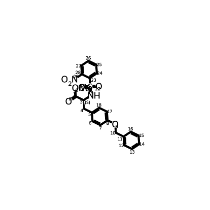 COC(=O)[C@H](Cc1ccc(OCc2ccccc2)cc1)NS(=O)(=O)c1ccccc1[N+](=O)[O-]